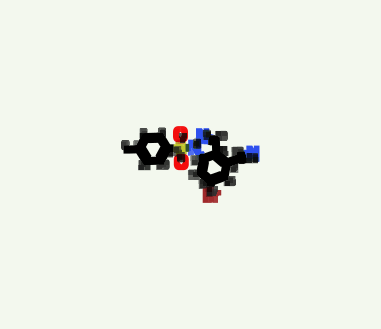 Cc1ccc(S(=O)(=O)n2ncc3c(C#N)cc(Br)cc32)cc1